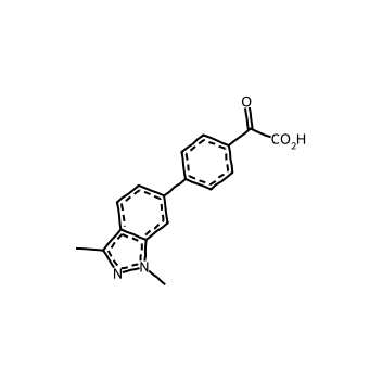 Cc1nn(C)c2cc(-c3ccc(C(=O)C(=O)O)cc3)ccc12